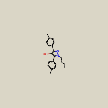 CCCCn1nc(-c2ccc(C)cc2)c(O)c1-c1ccc(C)cc1